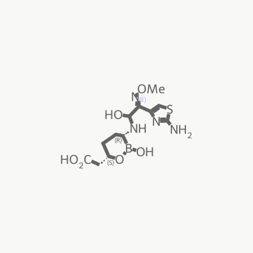 CO/N=C(\c1csc(N)n1)C(O)N[C@H]1CC[C@@H](CC(=O)O)OB1O